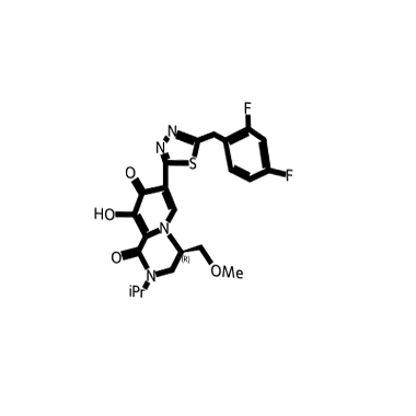 COC[C@H]1CN(C(C)C)C(=O)c2c(O)c(=O)c(-c3nnc(Cc4ccc(F)cc4F)s3)cn21